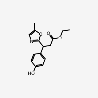 CCOC(=O)CC(c1ccc(O)cc1)c1ncc(C)o1